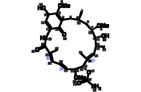 COC1=C2C[C@@H](C)C[C@H](OC)[C@H](O)[C@@H](C)/C=C(\C)[C@H](OC(N)=O)[C@@H](OC)/C=C/C=C(\C)C(=O)NC(=CC1O)C2=O